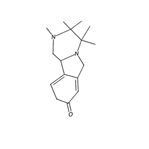 CN1CC2C3=CCC(=O)C=C3CN2C(C)(C)C1(C)C